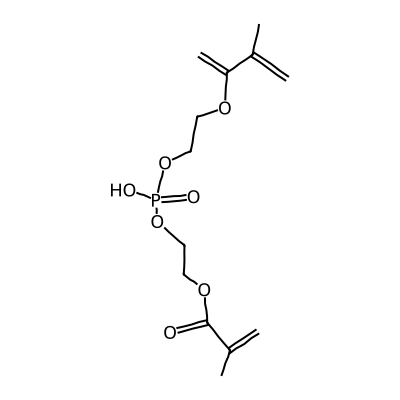 C=C(C)C(=C)OCCOP(=O)(O)OCCOC(=O)C(=C)C